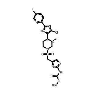 C[C@H]1CN(S(=O)(=O)Cc2csc(NC(=O)OC(C)(C)C)n2)CC[C@H]1c1[nH]c(-c2ccc(F)cn2)nc1Cl